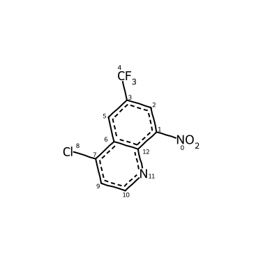 O=[N+]([O-])c1cc(C(F)(F)F)cc2c(Cl)ccnc12